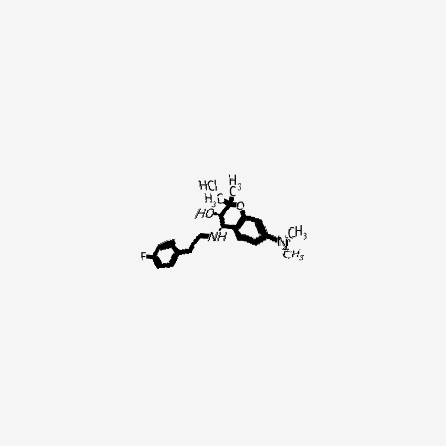 CN(C)c1ccc2c(c1)OC(C)(C)[C@H](O)[C@H]2NCCc1ccc(F)cc1.Cl